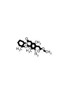 CCOC(=O)Cc1c(C)c(C)c2c(c1C)CC(=O)N(C1CCCCC1(C)C)C2